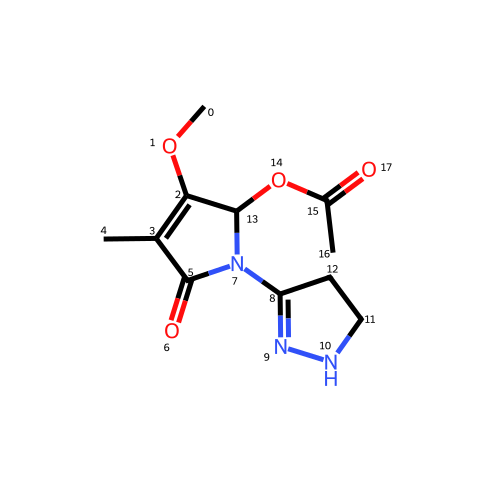 COC1=C(C)C(=O)N(C2=NNCC2)C1OC(C)=O